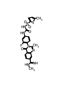 CNC(=N)c1ccc2c(=O)n(-c3ccc(NC(=O)NS(=O)(=O)c4ccc(C)s4)cc3F)c(C)nc2c1